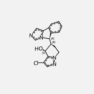 O[C@@H]1c2c(Cl)cnn2CC[C@@H]1[C@@H]1c2ccccc2-c2cncn21